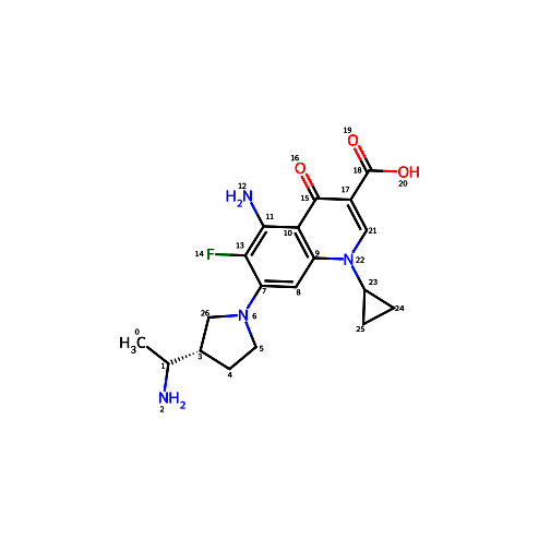 CC(N)[C@H]1CCN(c2cc3c(c(N)c2F)c(=O)c(C(=O)O)cn3C2CC2)C1